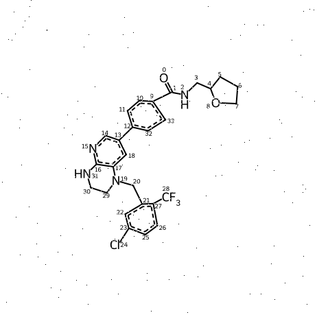 O=C(NCC1CCCO1)c1ccc(-c2cnc3c(c2)N(Cc2cc(Cl)ccc2C(F)(F)F)CCN3)cc1